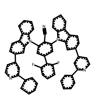 N#Cc1c(-n2c3ccccc3c3ccc(-c4ccnc(-c5ccccc5)c4)cc32)cc(-c2c(F)cccc2F)cc1-n1c2ccccc2c2ccc(-c3ccnc(-c4ccccc4)c3)cc21